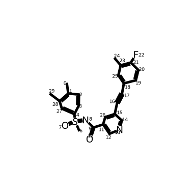 Cc1ccc(S(C)(=O)=NC(=O)c2cncc(C#Cc3ccc(F)c(C)c3)c2)cc1C